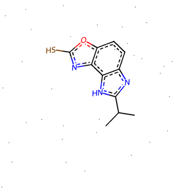 CC(C)c1nc2ccc3oc(S)nc3c2[nH]1